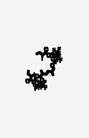 CCC(I)C(=O)OCC(OCOCC(C)CCC(C)C(OC)OC(COC(=O)C(I)CC)(C(F)(F)F)C(F)(F)F)(C(F)(F)F)C(F)(F)F